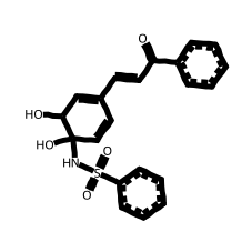 O=C(C=CC1=CC(O)C(O)(NS(=O)(=O)c2ccccc2)C=C1)c1ccccc1